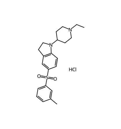 CCN1CCC(N2CCc3cc(S(=O)(=O)c4cccc(C)c4)ccc32)CC1.Cl